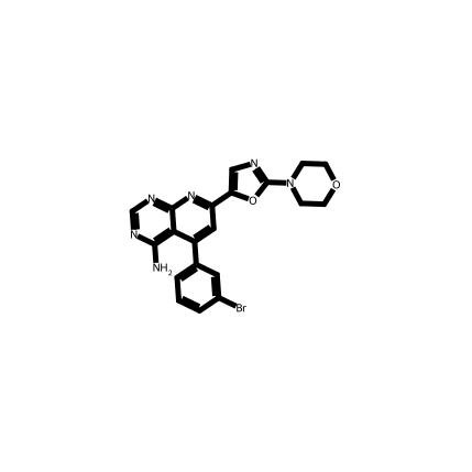 Nc1ncnc2nc(-c3cnc(N4CCOCC4)o3)cc(-c3cccc(Br)c3)c12